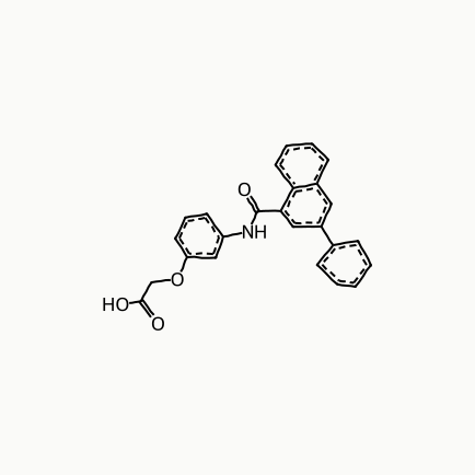 O=C(O)COc1cccc(NC(=O)c2cc(-c3ccccc3)cc3ccccc23)c1